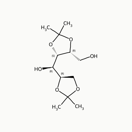 CC1(C)OC[C@H]([C@@H](O)[C@@H]2OC(C)(C)O[C@@H]2CO)O1